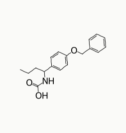 CCCC(NC(=O)O)c1ccc(OCc2ccccc2)cc1